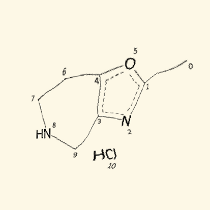 Cc1nc2c(o1)CCNC2.Cl